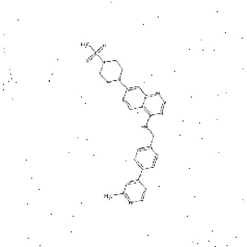 Cc1cc(-c2ccc(CNc3ncnc4cc(N5CCN(S(C)(=O)=O)CC5)ccc34)cn2)ccn1